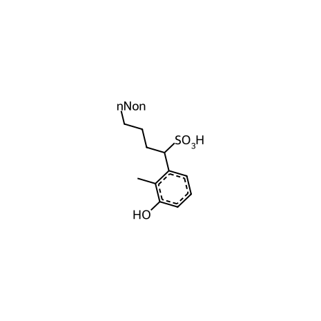 CCCCCCCCCCCCC(c1cccc(O)c1C)S(=O)(=O)O